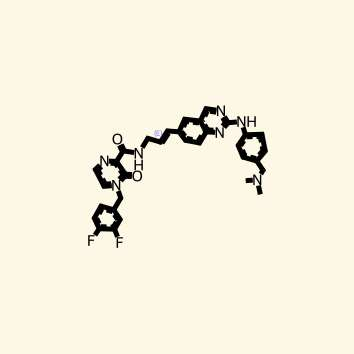 CN(C)Cc1ccc(Nc2ncc3cc(/C=C/CNC(=O)c4nccn(Cc5ccc(F)c(F)c5)c4=O)ccc3n2)cc1